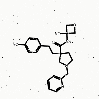 N#Cc1ccc(CC[C@@]2(C(=O)NC3(C#N)COC3)CCN(Cc3ccccn3)C2)cc1